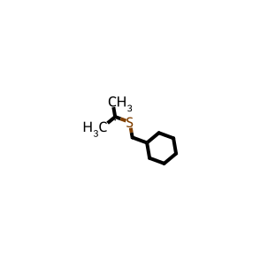 C[C](C)SCC1CCCCC1